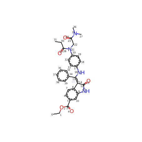 CCOC(=O)c1ccc2c(c1)NC(=O)/C2=C(\Nc1ccc(N(CC(=O)N(C)C)C(=O)CC)cc1)c1ccccc1